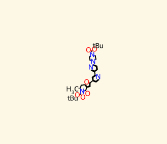 C[C@@H]1Cc2oc(-c3ccnc(-c4ccc(N5CCN(C(=O)OC(C)(C)C)CC5)nc4)c3)cc2C(=O)N1C(=O)OC(C)(C)C